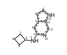 c1cc2cc(NC3CCC3)ncc2[nH]1